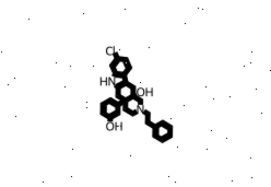 Oc1cccc(C23CCN(CCc4ccccc4)CC2(O)Cc2c([nH]c4cc(Cl)ccc24)C3)c1